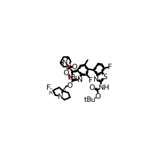 Cc1cc2c(N3CC4CC(C3)N4C(=O)OC(C)(C)C)nc(OC[C@@]34CCCN3C[C@H](F)C4)nc2c(F)c1-c1ccc(F)c2sc(NC(=O)OC(C)(C)C)nc12